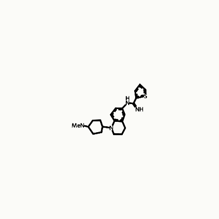 CNC1CCC(N2CCCc3cc(NC(=N)c4cccs4)ccc32)CC1